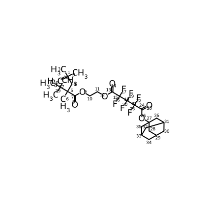 CC(C)(C)CC(C)(C(=O)OCCOC(=O)C(F)(F)C(F)(F)C(F)(F)C(=O)OC12CC3CC(CC(C3)C1)C2)C(C)(C)C